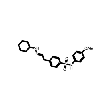 COc1ccc(NS(=O)(=O)c2ccc(CC=NNC3CCCCC3)cc2)cc1